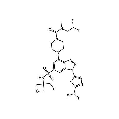 CN(CC(F)F)C(=O)N1CCN(c2cc(S(=O)(=O)NC3(CF)COC3)cc3c2cnn3-c2nnc(C(F)F)s2)CC1